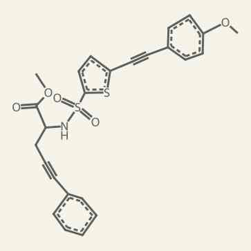 COC(=O)C(CC#Cc1ccccc1)NS(=O)(=O)c1ccc(C#Cc2ccc(OC)cc2)s1